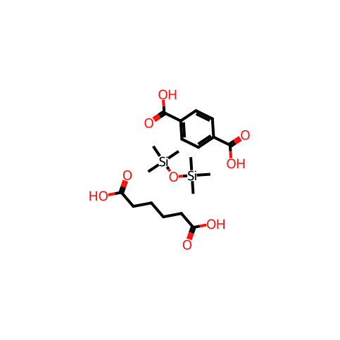 C[Si](C)(C)O[Si](C)(C)C.O=C(O)CCCCC(=O)O.O=C(O)c1ccc(C(=O)O)cc1